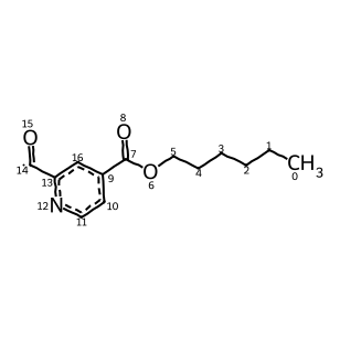 CCCCCCOC(=O)c1ccnc([C]=O)c1